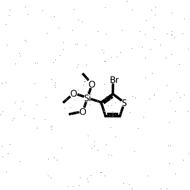 CO[Si](OC)(OC)c1ccsc1Br